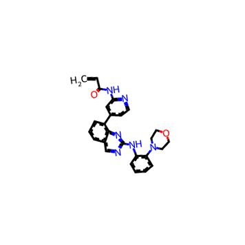 C=CC(=O)Nc1cc(-c2cccc3cnc(Nc4ccccc4N4CCOCC4)nc23)ccn1